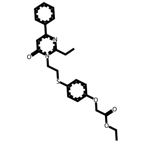 CCOC(=O)COc1ccc(SCCn2c(CC)nc(-c3ccccc3)cc2=O)cc1